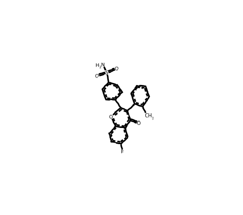 Cc1ccccc1-c1c(-c2ccc(S(N)(=O)=O)cc2)oc2ccc(F)cc2c1=O